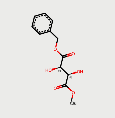 CC(C)(C)OC(=O)[C@H](O)[C@@H](O)C(=O)OCc1ccccc1